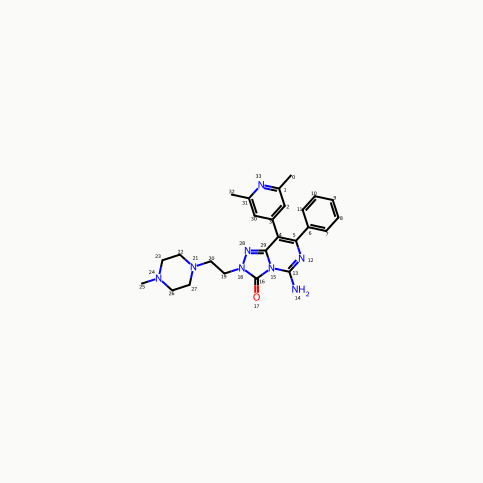 Cc1cc(-c2c(-c3ccccc3)nc(N)n3c(=O)n(CCN4CCN(C)CC4)nc23)cc(C)n1